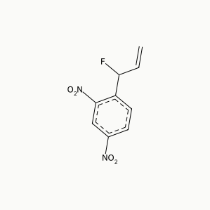 C=CC(F)c1ccc([N+](=O)[O-])cc1[N+](=O)[O-]